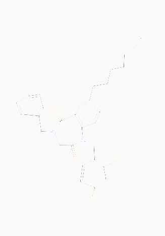 CCC(c1ccccc1)N1CC(=O)N(Cc2ccc(F)cc2F)c2ccc(CCCCCCN)cc2C1=O